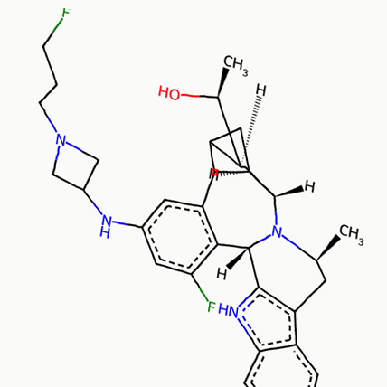 C[C@H](O)[C@H]1C[C@@H]2[C@@H]3CC1C3c1cc(NC3CN(CCCF)C3)cc(F)c1[C@H]1c3[nH]c4ccccc4c3C[C@H](C)N12